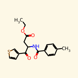 CCOC(=O)CC(NC(=O)c1ccc(C)cc1)C(=O)c1ccsc1